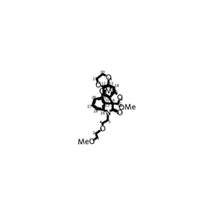 COCCOCCN1C(=O)C2(c3cc4c(cc3OC2OC)OCCO4)c2c(OC)cccc21